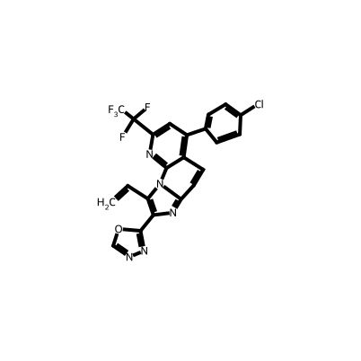 C=Cc1c(-c2nnco2)nc2ccc3c(-c4ccc(Cl)cc4)cc(C(F)(F)C(F)(F)F)nc3n12